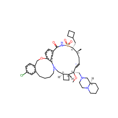 CO[C@]1(CN2CCN3CCCC[C@@H]3C2)/C=C/C[C@H](C)[C@@H](CC2CCC2)S(=O)(=O)NC(=O)c2ccc3c(c2)N(CCCCc2cc(Cl)ccc2CO3)C[C@@H]2CC[C@H]21